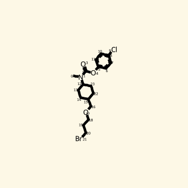 CN(C(=O)Oc1ccc(Cl)cc1)C1CCC(COCCCBr)CC1